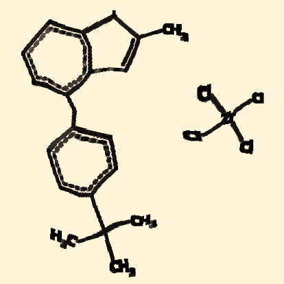 CC1=Cc2c(cccc2-c2ccc(C(C)(C)C)cc2)[CH]1.[Cl][Zr]([Cl])([Cl])[Cl]